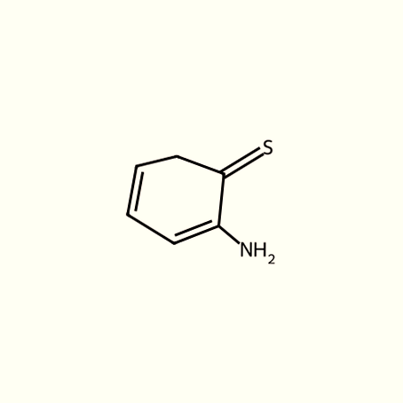 NC1=CC=CCC1=S